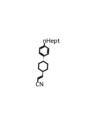 CCCCCCCc1ccc([C@H]2CC[C@H](C=CC#N)CC2)cc1